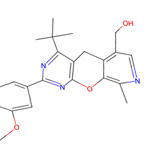 COc1cccc(-c2nc3c(c(C(C)(C)C)n2)Cc2c(CO)cnc(C)c2O3)c1